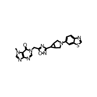 Cn1cnc2ncn(Cc3nc(C4C5CN(c6ccc7ncsc7c6)CC54)no3)c(=O)c21